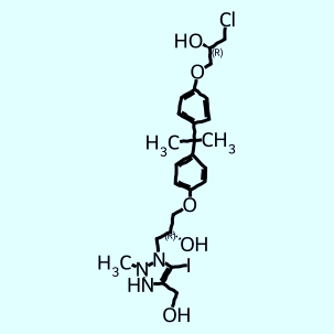 CN1NC(CO)=C(I)N1C[C@@H](O)COc1ccc(C(C)(C)c2ccc(OC[C@@H](O)CCl)cc2)cc1